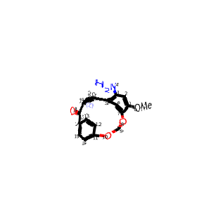 COc1cc(N)c2cc1OCOc1ccc(cc1)C(=O)/C=C\2